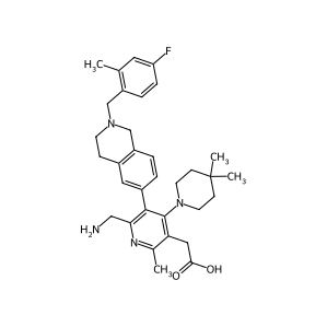 Cc1cc(F)ccc1CN1CCc2cc(-c3c(CN)nc(C)c(CC(=O)O)c3N3CCC(C)(C)CC3)ccc2C1